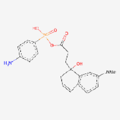 CNc1ccc2c(c1)C(O)(CCC(=O)OP(=O)(O)c1ccc(N)cc1)CC=C2